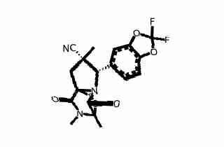 CN1C(=O)C23C[C@](C)(C#N)[C@H](c4ccc5c(c4)OC(F)(F)O5)N2C(=O)C1(C)SS3